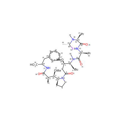 CCC(C)[C@@H]([C@@H](CC(=O)N1CCC[C@H]1[C@H](OC)[C@@H](C)C(=O)NC(Cc1ccccc1)C(=O)O)OC)N(C)C(=O)[C@@H](NC(=O)[C@H](C(C)C)N(C)[C@@H](C)I)C(C)C